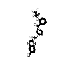 O=C(c1ccccc1OC(F)(F)C(F)F)N1CC[C@H](CNc2cnc3cc(Cl)ccc3n2)C1